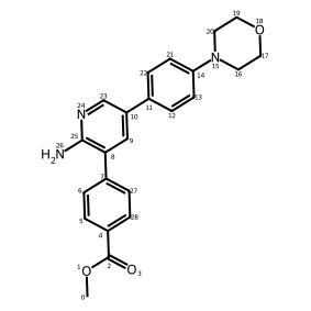 COC(=O)c1ccc(-c2cc(-c3ccc(N4CCOCC4)cc3)cnc2N)cc1